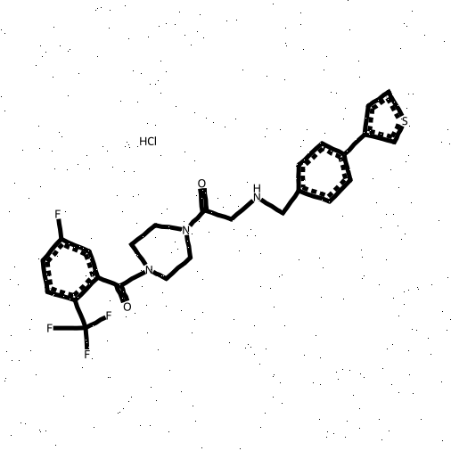 Cl.O=C(CNCc1ccc(-c2ccsc2)cc1)N1CCN(C(=O)c2cc(F)ccc2C(F)(F)F)CC1